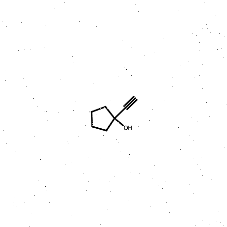 C#CC1(O)C[CH]CC1